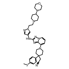 CSc1ccc(C2(CC#N)CCN(c3cccn4nc(Nc5cnn(CCN6CCC(N7CCOCC7)CC6)c5)nc34)CC2)cc1